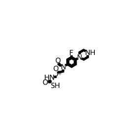 O=C(S)NC[C@H]1CN(c2ccc(N3CCNCC3)c(F)c2)C(=O)O1